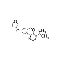 CC(C)c1ccnc2c1OCC1CC(OC3CCOC3)CN21